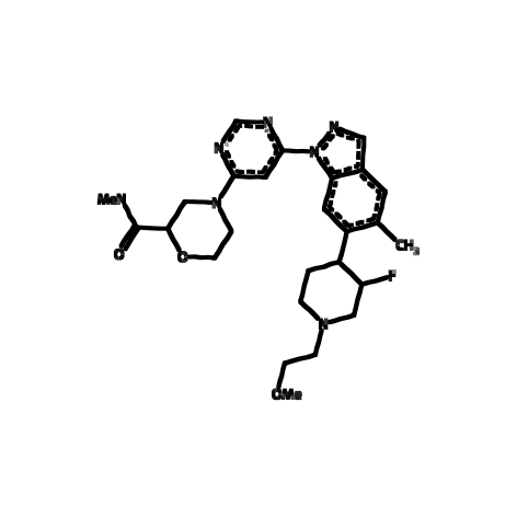 CNC(=O)C1CN(c2cc(-n3ncc4cc(C)c(C5CCN(CCOC)CC5F)cc43)ncn2)CCO1